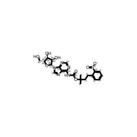 CC(C)(CCc1ccccc1[N+](=O)[O-])OC(=O)Nc1ncnc2c1ncn2[C@@H]1O[C@H](CO)[C@@H](O)[C@H]1O